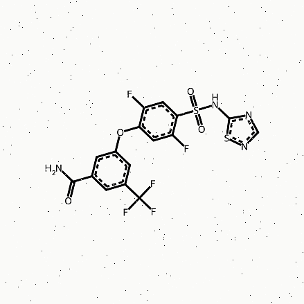 NC(=O)c1cc(Oc2cc(F)c(S(=O)(=O)Nc3ncns3)cc2F)cc(C(F)(F)F)c1